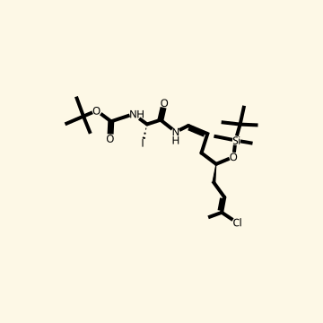 C/C(Cl)=C\C[C@@H](C/C=C\NC(=O)[C@H](I)NC(=O)OC(C)(C)C)O[Si](C)(C)C(C)(C)C